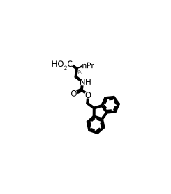 CCC[C@@H](CNC(=O)OCC1c2ccccc2-c2ccccc21)C(=O)O